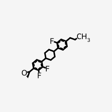 CCCc1ccc(C2CCC(c3ccc(C4CO4)c(F)c3F)CC2)c(F)c1